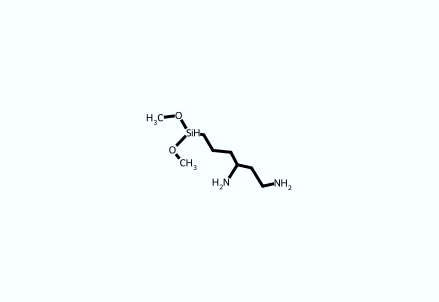 CO[SiH](CCCC(N)CCN)OC